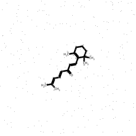 CC(C)=CC=CC(=O)C=CC1=C(C)CCCC1(C)C